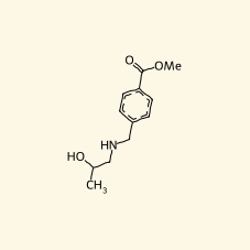 COC(=O)c1ccc(CNCC(C)O)cc1